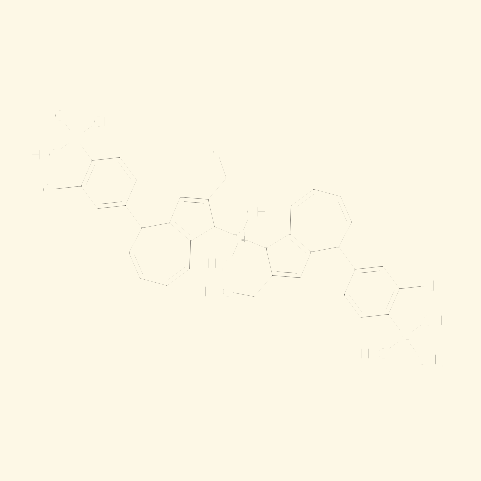 CCC1=CC2=C(C=CC=CC2c2ccc([Si](C)(C)C)c(Cl)c2)C1[Si](C)(C)C1C(CC)=CC2=C1C=CC=CC2c1ccc([Si](C)(C)C)c(Cl)c1